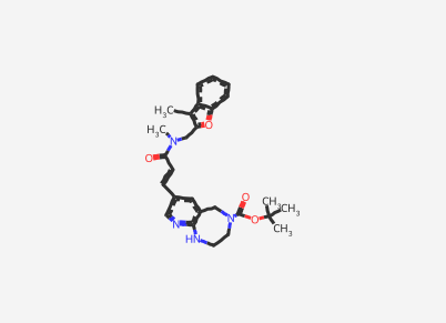 Cc1c(CN(C)C(=O)C=Cc2cnc3c(c2)CN(C(=O)OC(C)(C)C)CCN3)oc2ccccc12